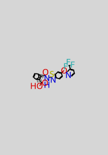 O=C(Nc1nc2ccc(Oc3ncccc3C(F)(F)F)cc2s1)[C@@H]1C2C=CC(C2)[C@@H]1C(=O)O